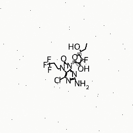 CCC(O)[C@H]1O[C@@H](n2c(=O)n(CCC(F)(F)F)c3c(Cl)nc(N)nc32)[C@H](O)[C@H]1F